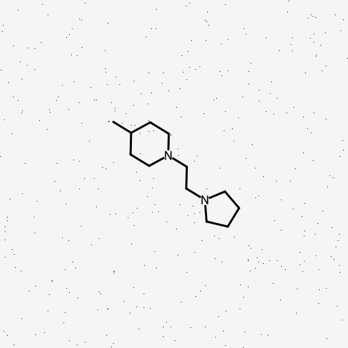 [CH2]C1CCN(CCN2CCCC2)CC1